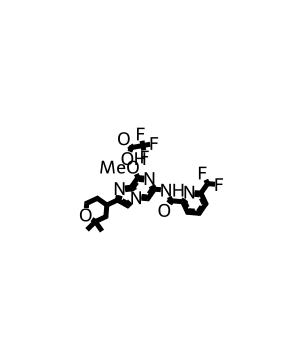 COc1nc(NC(=O)c2cccc(C(F)F)n2)cn2cc(C3CCOC(C)(C)C3)nc12.O=C(O)C(F)(F)F